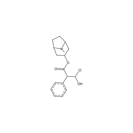 CN1C2CCC1CC(OC(=O)C(c1ccccc1)C(O)Cl)C2